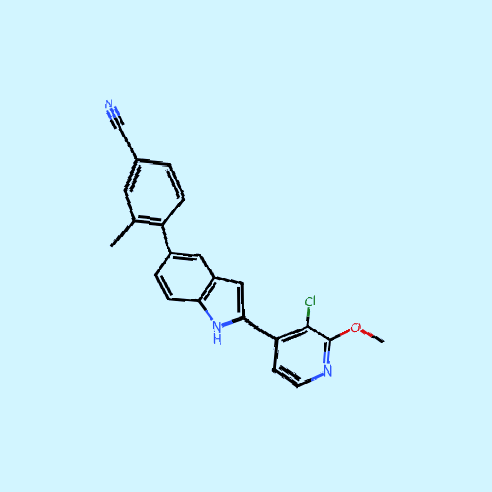 COc1nccc(-c2cc3cc(-c4ccc(C#N)cc4C)ccc3[nH]2)c1Cl